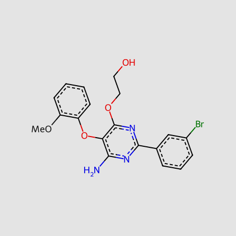 COc1ccccc1Oc1c(N)nc(-c2cccc(Br)c2)nc1OCCO